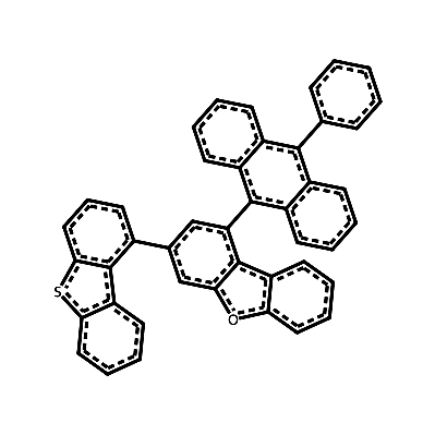 c1ccc(-c2c3ccccc3c(-c3cc(-c4cccc5sc6ccccc6c45)cc4oc5ccccc5c34)c3ccccc23)cc1